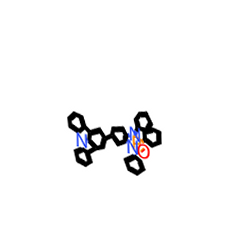 O=P1(c2ccccc2)N(c2ccccc2)c2ccc(-c3cc4c5ccccc5n5c6ccccc6c(c3)c45)cc2N1c1ccccc1